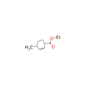 CCOC(=O)C1C=CC(C)CC1